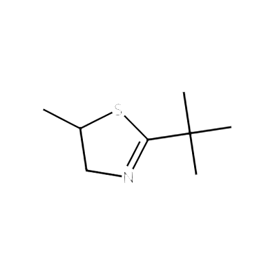 CC1CN=C(C(C)(C)C)S1